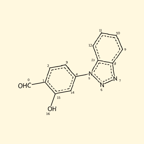 O=Cc1ccc(-n2nnc3ccccc32)cc1O